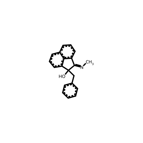 C/N=C1\c2cccc3cccc(c23)C1(O)Cc1ccccc1